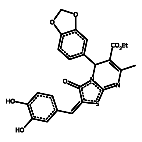 CCOC(=O)C1=C(C)N=c2sc(=Cc3ccc(O)c(O)c3)c(=O)n2C1c1ccc2c(c1)OCO2